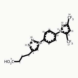 O=C(O)CCCc1cn(-c2ccc(-n3nc(C(F)(F)F)cc3C(F)(F)F)cc2)nn1